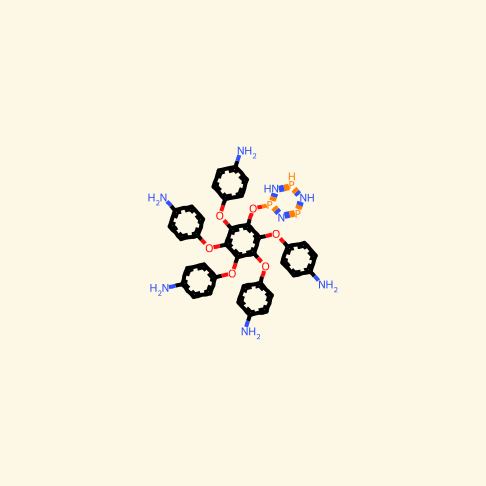 Nc1ccc(Oc2c(Oc3ccc(N)cc3)c(Oc3ccc(N)cc3)c(Op3np[nH][pH][nH]3)c(Oc3ccc(N)cc3)c2Oc2ccc(N)cc2)cc1